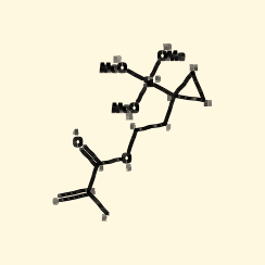 C=C(C)C(=O)OCCC1([Si](OC)(OC)OC)CC1